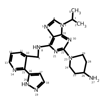 CC(C)n1cnc2c(NCc3cccnc3-c3ccn[nH]3)nc(N3CCC(N)CC3)nc21